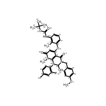 COc1ccc(CN2C(=O)c3c(Oc4cccc(NC(=O)OC(C)(C)C)c4C)cc(=O)n(C)c3N(c3ccc(I)cc3F)C2O)cc1